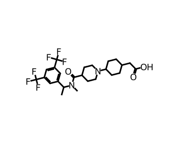 CC(c1cc(C(F)(F)F)cc(C(F)(F)F)c1)N(C)C(=O)C1CCN(C2CCC(CC(=O)O)CC2)CC1